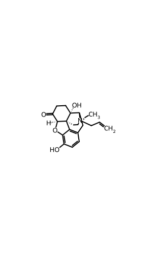 C=CC[N+]1(C)CC[C@]23c4c5ccc(O)c4O[C@H]2C(=O)CC[C@@]3(O)C1C5